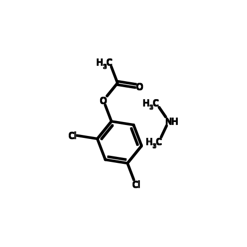 CC(=O)Oc1ccc(Cl)cc1Cl.CNC